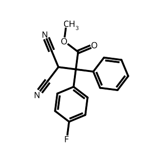 COC(=O)C(c1ccccc1)(c1ccc(F)cc1)C(C#N)C#N